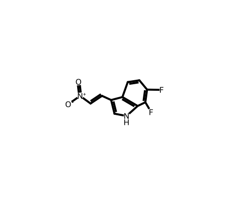 O=[N+]([O-])C=Cc1c[nH]c2c(F)c(F)ccc12